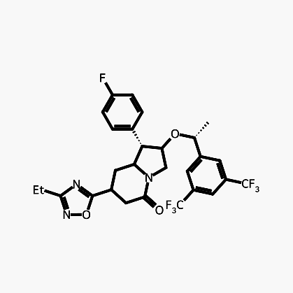 CCc1noc(C2CC(=O)N3CC(O[C@H](C)c4cc(C(F)(F)F)cc(C(F)(F)F)c4)[C@@H](c4ccc(F)cc4)C3C2)n1